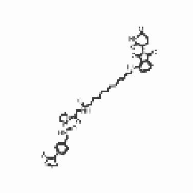 Cc1ncsc1-c1ccc(CNC(=O)[C@@H]2CCCN2C(=O)CNC(=O)CCCCCCCCCCCNc2cccc3c2C(=O)N(C2CCC(=O)NC2=O)C3=O)cc1